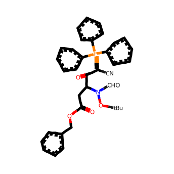 CC(C)(C)ON(C=O)C(CC(=O)OCc1ccccc1)C(=O)C(C#N)=P(c1ccccc1)(c1ccccc1)c1ccccc1